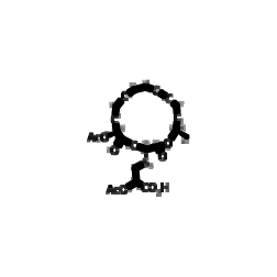 CC(=O)OC(CS[C@@H]1CC(=O)[C@@H](OC(C)=O)CCCCCCCCC[C@@H](C)OC1=O)C(=O)O